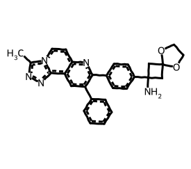 Cc1nnc2c3cc(-c4ccccc4)c(-c4ccc(C5(N)CC6(C5)OCCO6)cc4)nc3ccn12